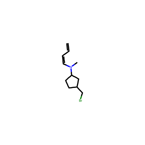 C=C/C=C\N(C)C1CCC(CBr)C1